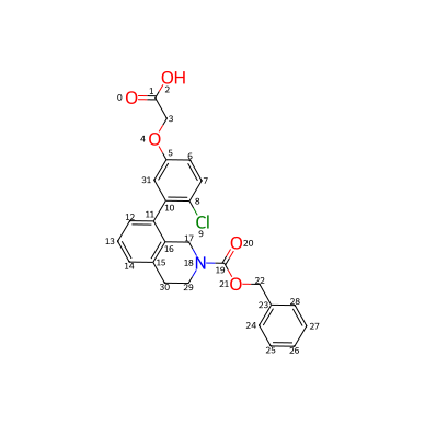 O=C(O)COc1ccc(Cl)c(-c2cccc3c2CN(C(=O)OCc2ccccc2)CC3)c1